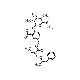 CCN(COC(C)Cc1ccccc1)C(=O)OCc1ccc(OC2OC(C(C)=O)C(C)[C@H](C)[C@@H]2C)c([N+](=O)[O-])c1